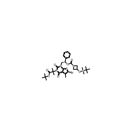 Cc1c(Br)sc2c1c(=O)n(C(C)(C)C(=O)OC(C)(C)C)c(=O)n2C[C@H](OC(=O)N1CC(O[Si](C)(C)C(C)(C)C)C1)c1ccccc1